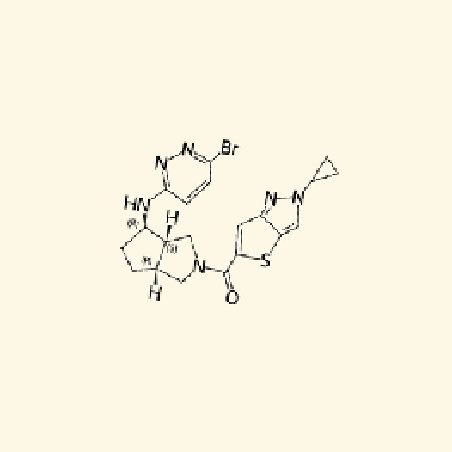 O=C(c1cc2nn(C3CC3)cc2s1)N1C[C@@H]2CC[C@@H](Nc3ccc(Br)nn3)[C@@H]2C1